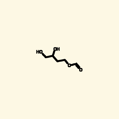 O=[C]OCCC(O)CO